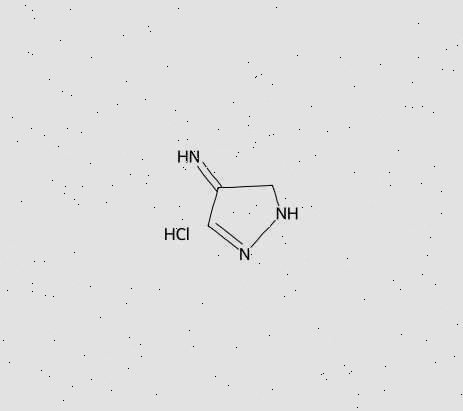 Cl.N=C1C=NNC1